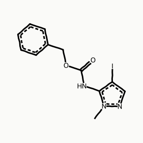 Cn1ncc(I)c1NC(=O)OCc1ccccc1